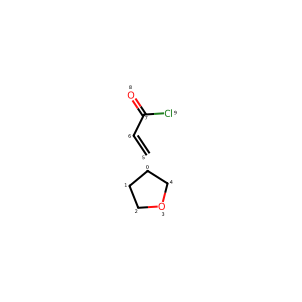 C1CCOC1.C=CC(=O)Cl